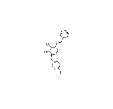 O=c1c(Cl)c(OCc2ccccc2)ccn1Cc1ccc(OC(F)(F)F)cc1